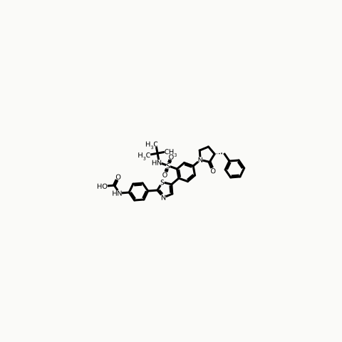 CC(C)(C)NS(=O)(=O)c1cc(N2CC[C@H](Cc3ccccc3)C2=O)ccc1-c1cnc(-c2ccc(NC(=O)O)cc2)s1